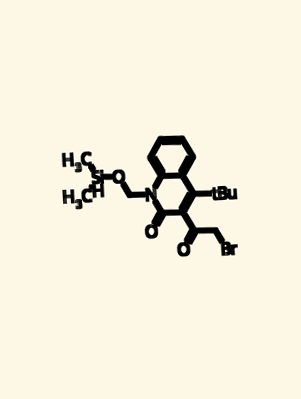 C[SiH](C)OCn1c(=O)c(C(=O)CBr)c(C(C)(C)C)c2ccccc21